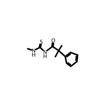 CNC(=S)NC(=O)C(C)(C)c1ccccc1